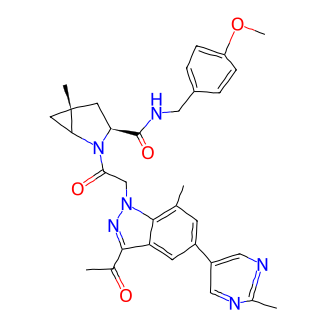 COc1ccc(CNC(=O)[C@@H]2C[C@@]3(C)CC3N2C(=O)Cn2nc(C(C)=O)c3cc(-c4cnc(C)nc4)cc(C)c32)cc1